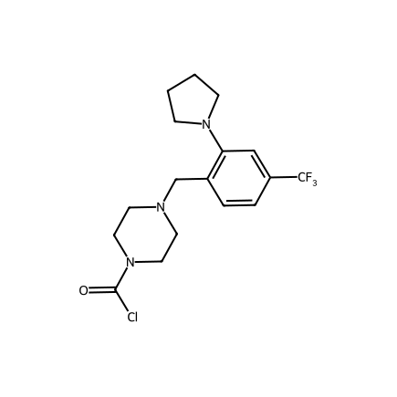 O=C(Cl)N1CCN(Cc2ccc(C(F)(F)F)cc2N2CCCC2)CC1